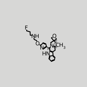 C[C@@H]1Cc2c([nH]c3ccccc23)[C@@H](c2ccc(OCCNCCCF)nc2)N1CC1(F)COC1